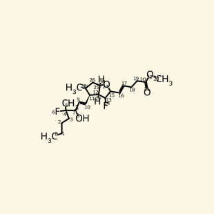 CCCCC(C)(F)[C@H](O)/C=C/[C@@H]1[C@H]2C(F)C(/C=C/CCC(=O)OC)O[C@H]2C[C@H]1C